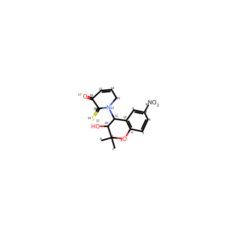 CC1(C)Oc2ccc([N+](=O)[O-])cc2C(N2CC=CC(=O)C2=S)C1O